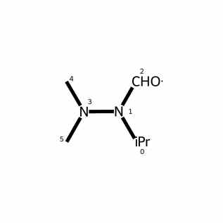 CC(C)N([C]=O)N(C)C